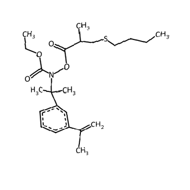 C=C(C)c1cccc(C(C)(C)N(OC(=O)C(C)CSCCCC)C(=O)OCC)c1